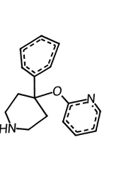 c1ccc(C2(Oc3ccccn3)CCNCC2)cc1